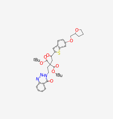 CC(C)(C)OC(=O)C(CCn1nnc2ccccc2c1=O)(CC(=O)c1cc2ccc(OCC3CCCO3)cc2s1)C(=O)OC(C)(C)C